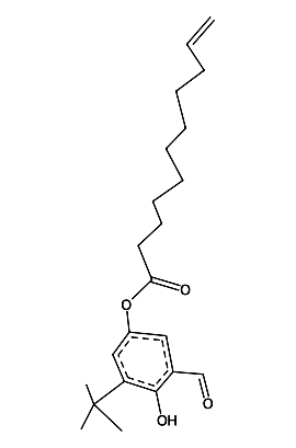 C=CCCCCCCCCC(=O)Oc1cc(C=O)c(O)c(C(C)(C)C)c1